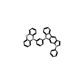 c1ccc(-n2ccc3cc4c5ccccc5n(-c5cccc(N6c7ccccc7Oc7ccccc76)c5)c4cc32)cc1